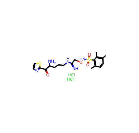 Cc1ccc(C)c(S(=O)(=O)NOCC(=N)NCCCC(N)C(=O)c2nccs2)c1C.Cl.Cl